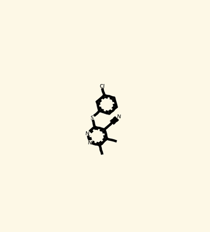 Cc1nnc(Sc2cccc(Cl)c2)c(C#N)c1C